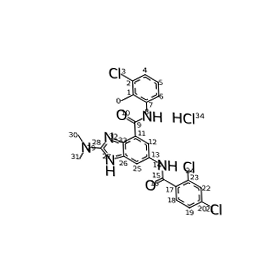 Cc1c(Cl)cccc1NC(=O)c1cc(NC(=O)c2ccc(Cl)cc2Cl)cc2[nH]c(N(C)C)nc12.Cl